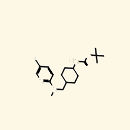 CN(CC1CCC(NC(=O)OC(C)(C)C)CC1)c1ccc(I)cn1